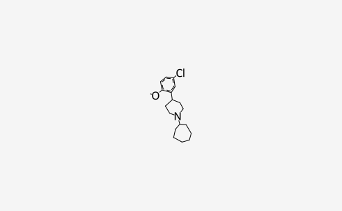 COc1ccc(Cl)cc1C1CCN(C2CCCCCC2)CC1